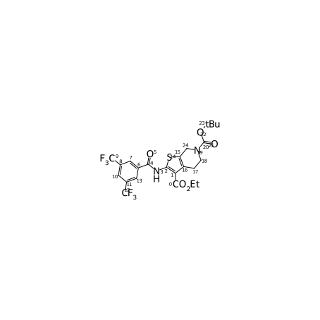 CCOC(=O)c1c(NC(=O)c2cc(C(F)(F)F)cc(C(F)(F)F)c2)sc2c1CCN(C(=O)OC(C)(C)C)C2